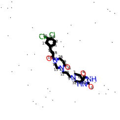 O=C1NC(=O)C2(CCN(CCCN3CCN(C(=O)C=Cc4ccc(Cl)c(Cl)c4)CCC3=O)CC2)N1